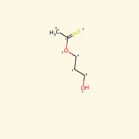 CC(=S)OCCCO